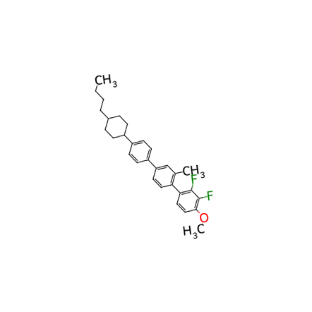 CCCCC1CCC(c2ccc(-c3ccc(-c4ccc(OC)c(F)c4F)c(C)c3)cc2)CC1